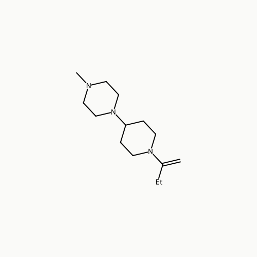 C=C(CC)N1CCC(N2CCN(C)CC2)CC1